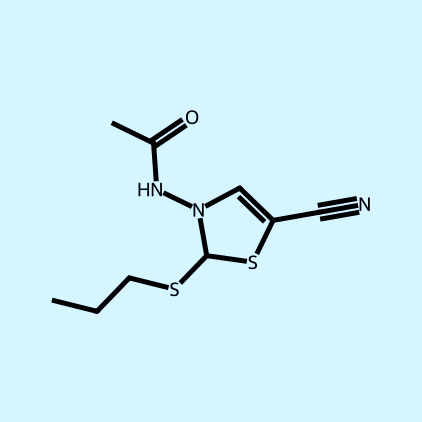 CCCSC1SC(C#N)=CN1NC(C)=O